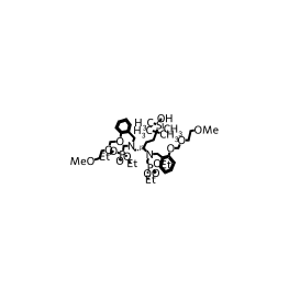 CCOP(=O)(CN(Cc1ccccc1OCOCCOC)C[C@H](CCC(C)(C)[Si](C)(C)O)N(Cc1ccccc1OCOCCOC)CP(=O)(OCC)OCC)OCC